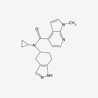 Cn1ccc2c(C(=O)N(C3CC3)C3CCc4[nH]ncc4C3)ccnc21